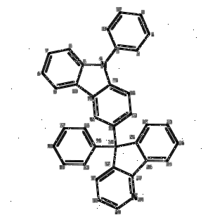 c1ccc(-n2c3ccccc3c3cc(C4(c5ccccc5)c5ccccc5-c5ncccc54)ccc32)cc1